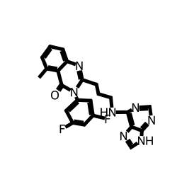 Cc1cccc2nc(CCCNc3ncnc4[nH]cnc34)n(-c3cc(F)cc(F)c3)c(=O)c12